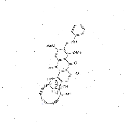 COc1cc2c(c(OC)c1CNc1ccccc1)C(=O)c1c(O)cc3c(c1C2=O)N[C@H]1C#C/C=C\C#C[C@@H](O)[C@@]32C[C@@]12[C@@H](C)O